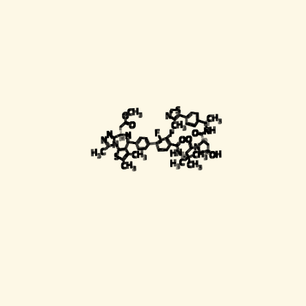 COC(=O)C[C@@H]1N=C(c2ccc(-c3ccc(C(=O)N[C@H](C(=O)N4C[C@H](O)C[C@H]4C(=O)N[C@@H](C)c4ccc(-c5scnc5C)cc4)C(C)(C)C)c(F)c3F)cc2)c2c(sc(C)c2C)-n2c(C)nnc21